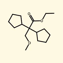 CCOC(=O)C(COC)(C1CCCC1)C1CCCC1